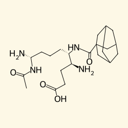 CC(=O)N[C@H](N)CCC[C@H](NC(=O)C12CC3CC(CC(C3)C1)C2)[C@@H](N)CCC(=O)O